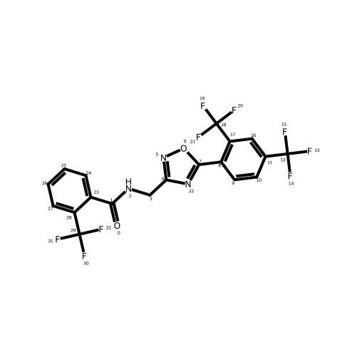 O=C(NCc1noc(-c2ccc(C(F)(F)F)cc2C(F)(F)F)n1)c1ccccc1C(F)(F)F